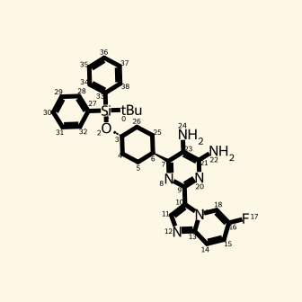 CC(C)(C)[Si](O[C@H]1CC[C@H](c2nc(-c3cnc4ccc(F)cn34)nc(N)c2N)CC1)(c1ccccc1)c1ccccc1